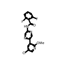 COc1ncc(Cl)cc1-c1cnc(NC(=O)c2c(F)cccc2F)cn1